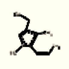 C/C=C\c1c(C)c(CC(C)(C)C)cn1C